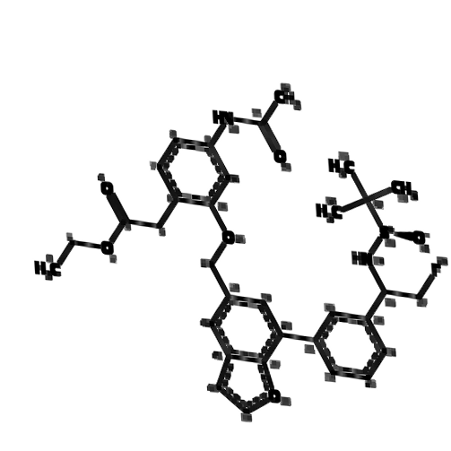 CCOC(=O)Cc1ccc(NC(C)=O)cc1OCc1cc(-c2cccc(C(CF)N[S@+]([O-])C(C)(C)C)c2)c2occc2c1